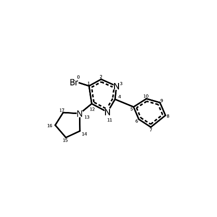 Brc1cnc(-c2ccccc2)nc1N1CCCC1